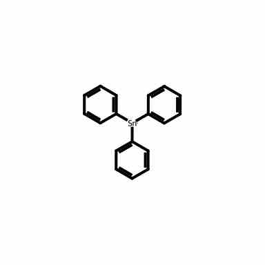 c1cc[c]([Sn]([c]2ccccc2)[c]2ccccc2)cc1